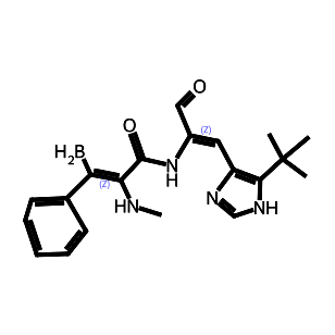 B/C(=C(/NC)C(=O)N/C(C=O)=C\c1nc[nH]c1C(C)(C)C)c1ccccc1